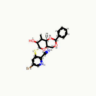 CC1C(O)[C@@H](Sc2cc(Br)cnc2C#N)OC2COC(c3ccccc3)O[C@@H]21